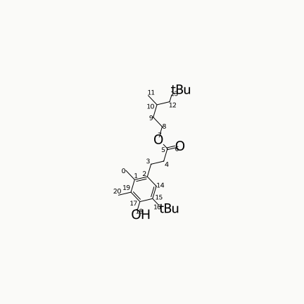 Cc1c(CCC(=O)OCCC(C)CC(C)(C)C)cc(C(C)(C)C)c(O)c1C